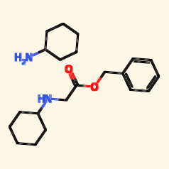 NC1CCCCC1.O=C(CNC1CCCCC1)OCc1ccccc1